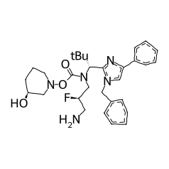 CC(C)(C)[C@H](c1nc(-c2ccccc2)cn1Cc1ccccc1)N(C[C@H](F)CN)C(=O)ON1CCC[C@H](O)C1